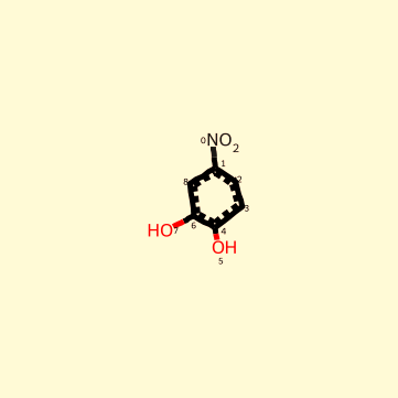 O=[N+]([O-])c1[c]cc(O)c(O)c1